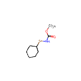 O=C(O)OC(=O)NSC1CCCCC1